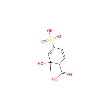 CC1(O)C=C(S(=O)(=O)O)C=CC1C(=O)O